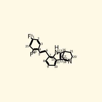 Fc1ccc(C=Cc2cccc3c4c([nH]c23)C2CCN(CC2)C4)c(F)c1